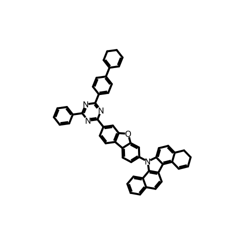 C1=CC(c2ccc(-c3nc(-c4ccccc4)nc(-c4ccc5c(c4)oc4cc(-n6c7ccc8c(c7c7ccc9ccccc9c76)C=CCC8)ccc45)n3)cc2)=CCC1